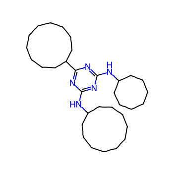 C1CCCCCC(Nc2nc(NC3CCCCCCC3)nc(C3CCCCCCCCCC3)n2)CCCC1